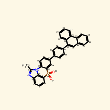 Cc1nc2cccc3c2n1-c1ccc(-c2ccc(-c4cc5ccccc5c5ccccc45)cc2)cc1S3(=O)=O